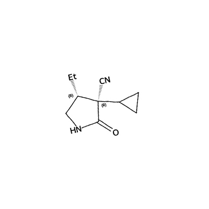 CC[C@H]1CNC(=O)[C@]1(C#N)C1CC1